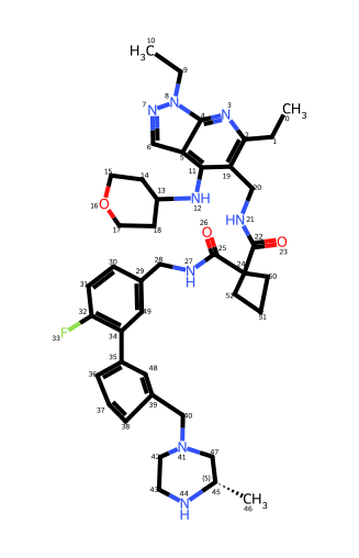 CCc1nc2c(cnn2CC)c(NC2CCOCC2)c1CNC(=O)C1(C(=O)NCc2ccc(F)c(-c3cccc(CN4CCN[C@@H](C)C4)c3)c2)CCC1